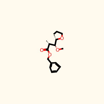 CO[C@@H]([C@@H]1CCCO1)[C@@H](C)C(=O)OCc1ccccc1